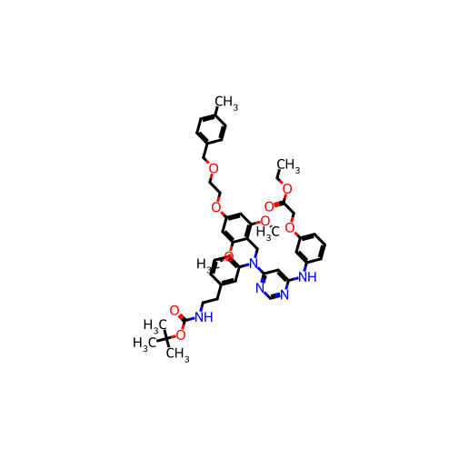 CCOC(=O)COc1cccc(Nc2cc(N(Cc3c(OC)cc(OCCOCc4ccc(C)cc4)cc3OC)c3cccc(CCNC(=O)OC(C)(C)C)c3)ncn2)c1